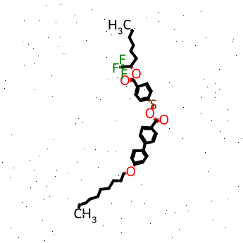 CCCCCCCCCCOc1ccc(-c2ccc(C(=O)OSc3ccc(C(=O)OC(CCCCCC)C(F)(F)F)cc3)cc2)cc1